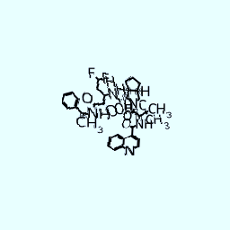 C[C@H](NC(=O)C(=O)C(CC(F)F)NC(O)[C@@H]1[C@H]2CCC[C@H]2CN1C(=O)[C@@H](NC(=O)c1ccnc2ccccc12)C(C)(C)C)c1ccccc1